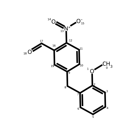 COc1ccccc1Cc1ccc([N+](=O)[O-])c(C=O)c1